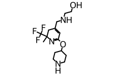 CC1(C(F)(F)F)CC(CNCCO)=CC(OC2CCNCC2)=N1